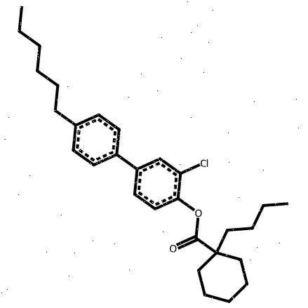 CCCCCCc1ccc(-c2ccc(OC(=O)C3(CCCC)CCCCC3)c(Cl)c2)cc1